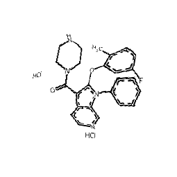 Cc1ccc(F)cc1Oc1c(C(=O)N2CCNCC2)c2ccncc2n1-c1ccccc1.Cl.Cl